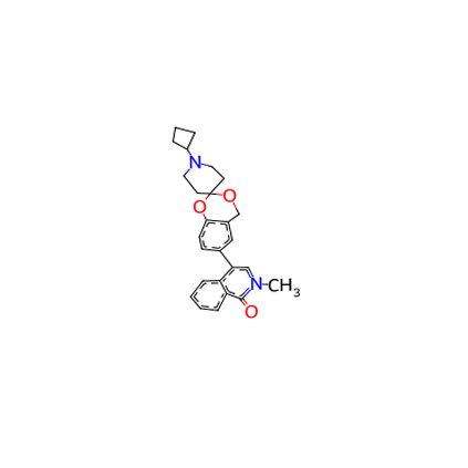 Cn1cc(-c2ccc3c(c2)COC2(CCN(C4CCC4)CC2)O3)c2ccccc2c1=O